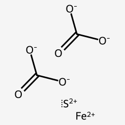 O=C([O-])[O-].O=C([O-])[O-].[Fe+2].[S+2]